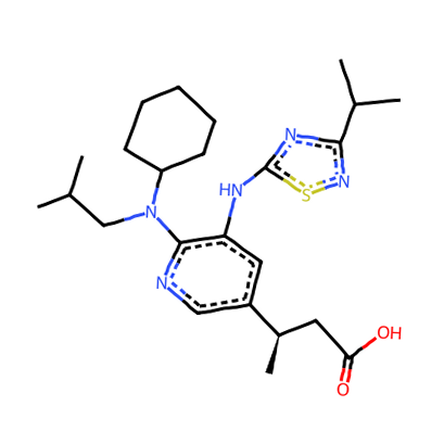 CC(C)CN(c1ncc([C@H](C)CC(=O)O)cc1Nc1nc(C(C)C)ns1)C1CCCCC1